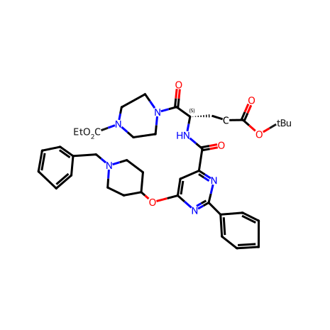 CCOC(=O)N1CCN(C(=O)[C@H](CCC(=O)OC(C)(C)C)NC(=O)c2cc(OC3CCN(Cc4ccccc4)CC3)nc(-c3ccccc3)n2)CC1